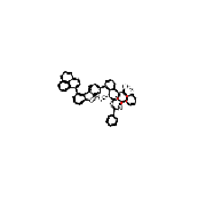 Cc1ccccc1-c1cccc(-c2ccc3c(c2)oc2cccc(-c4ccc5c6c(cccc46)CC=C5)c23)c1[C@H](C)c1nc(-c2ccccc2)nc(-c2ccccc2)n1